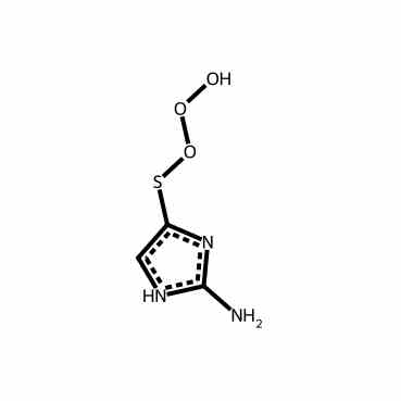 Nc1nc(SOOO)c[nH]1